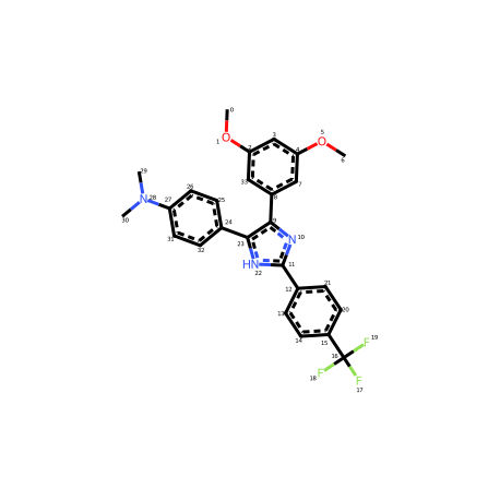 COc1cc(OC)cc(-c2nc(-c3ccc(C(F)(F)F)cc3)[nH]c2-c2ccc(N(C)C)cc2)c1